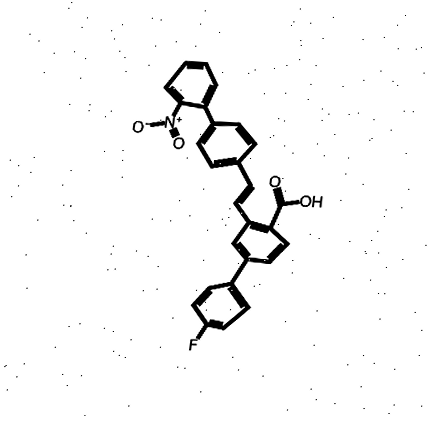 O=C(O)c1ccc(-c2ccc(F)cc2)cc1C=Cc1ccc(-c2ccccc2[N+](=O)[O-])cc1